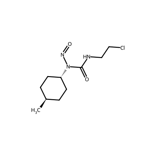 C[C@H]1CC[C@H](N(N=O)C(=O)NCCCl)CC1